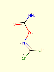 NC(=O)ON=C(Cl)Cl